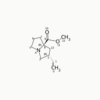 C=C[C@@H]1CN2CCC[C@]2(C(=O)OC)C1